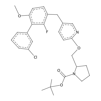 COc1ccc(Cc2ccc(OCC3CCCN3C(=O)OC(C)(C)C)nc2)c(F)c1-c1cccc(Cl)c1